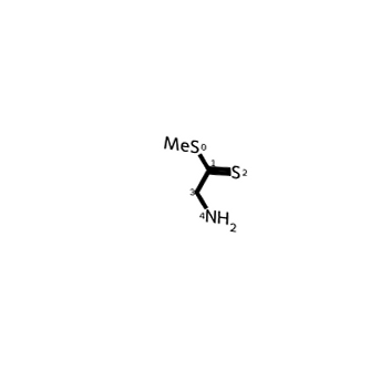 CSC(=S)CN